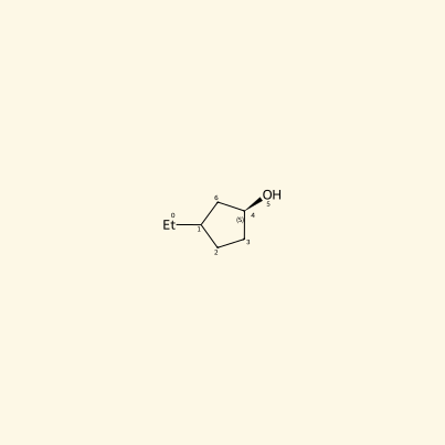 CCC1CC[C@H](O)C1